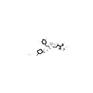 CCc1cccc(CNC[C@@H](OC(=O)c2sc3nc[nH]c(=O)c3c2C)[C@@H](N)Cc2cc(F)cc(F)c2)c1